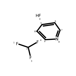 F.FC(F)F.c1ccncc1